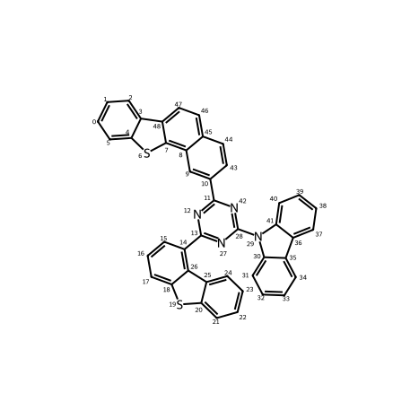 c1ccc2c(c1)sc1c3cc(-c4nc(-c5cccc6sc7ccccc7c56)nc(-n5c6ccccc6c6ccccc65)n4)ccc3ccc21